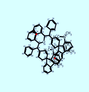 CN(C)c1ccccc1C1(c2ccccc2N(C)C)C=CC(C(c2ccccc2)C(OC(c2ccccc2)C(C2=CCC(c3ccccc3N(C)C)(c3ccccc3N(C)C)C=C2)c2ccccc2)c2ccccc2)=CC1